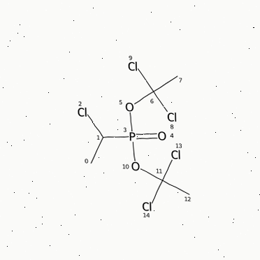 CC(Cl)P(=O)(OC(C)(Cl)Cl)OC(C)(Cl)Cl